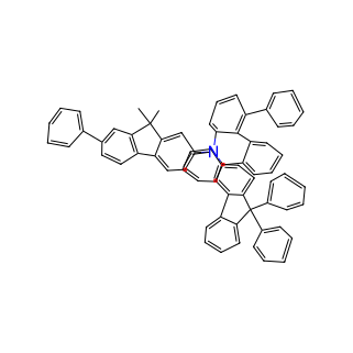 CC1(C)c2cc(-c3ccccc3)ccc2-c2ccc(N(c3ccc4c(c3)-c3ccccc3C4(c3ccccc3)c3ccccc3)c3cccc(-c4ccccc4)c3-c3ccccc3-c3ccccc3)cc21